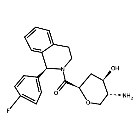 N[C@@H]1CO[C@@H](C(=O)N2CCc3ccccc3[C@@H]2c2ccc(F)cc2)C[C@H]1O